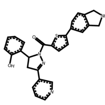 O=C(c1ccc(-c2ccc3c(c2)CNC3)s1)N1N=C(c2cccnc2)CC1c1ccccc1O